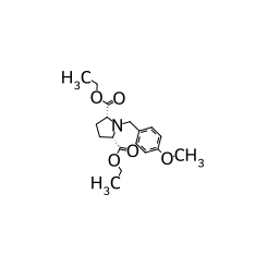 CCOC(=O)[C@H]1CC[C@@H](C(=O)OCC)N1Cc1ccc(OC)cc1